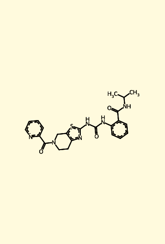 CC(C)NC(=O)c1ccccc1NC(=O)Nc1nc2c(s1)CN(C(=O)c1ccccn1)CC2